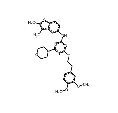 COc1ccc(CCOc2nc(Nc3ccc4sc(C)c(C)c4c3)nc(N3CCOCC3)n2)cc1OC